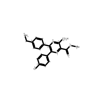 CC(C)(C)OC(=O)c1nc(-c2ccc(Cl)cc2)c(-c2ccc(CN)cc2)nc1C(=O)O